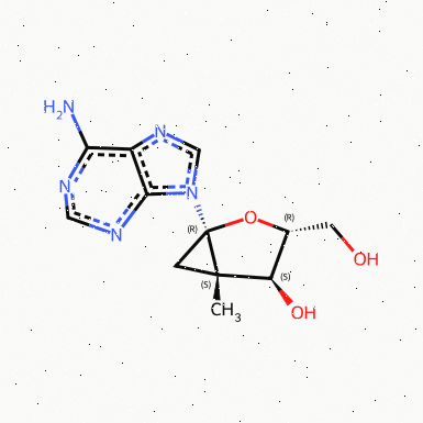 C[C@@]12C[C@@]1(n1cnc3c(N)ncnc31)O[C@H](CO)[C@H]2O